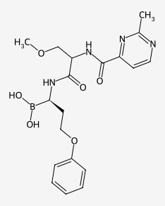 COCC(NC(=O)c1ccnc(C)n1)C(=O)N[C@@H](CCOc1ccccc1)B(O)O